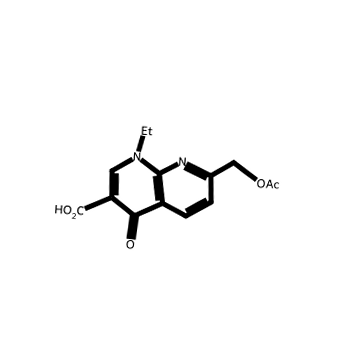 CCn1cc(C(=O)O)c(=O)c2ccc(COC(C)=O)nc21